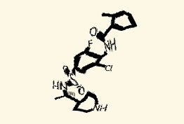 Cc1ccccc1C(=O)Nc1c(F)cc(S(=O)(=O)N[C@H](C)C2CCNCC2)cc1Cl